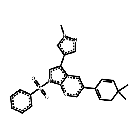 Cn1cc(-c2cn(S(=O)(=O)c3ccccc3)c3ncc(C4=CCC(C)(C)C=C4)cc23)cn1